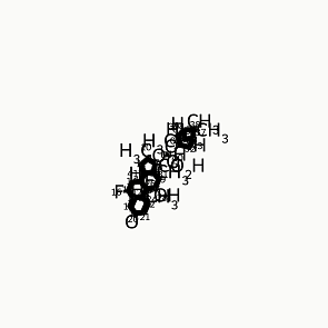 C[C@@H]1[C@@H](OC(=O)O[C@]2(C(=O)O)[C@H](C)C[C@H]3[C@@H]4C[C@H](F)C5=CC(=O)C=C[C@]5(C)[C@@]4(F)[C@@H](O)C[C@@]32C)C[C@H]2C[C@@H]1C2(C)C